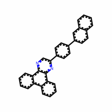 c1ccc2cc(-c3ccc(-c4cnc5c6ccccc6c6ccccc6c5n4)cc3)ccc2c1